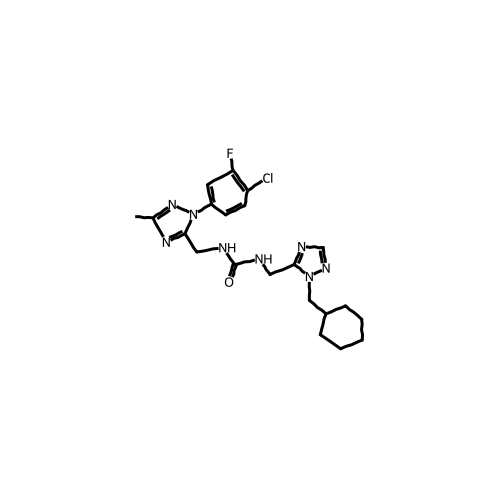 Cc1nc(CNC(=O)NCc2ncnn2CC2CCCCC2)n(-c2ccc(Cl)c(F)c2)n1